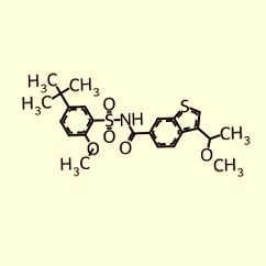 COc1ccc(C(C)(C)C)cc1S(=O)(=O)NC(=O)c1ccc2c(C(C)OC)csc2c1